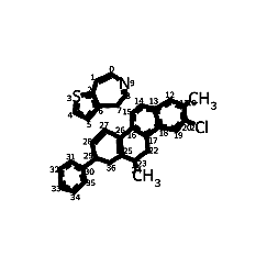 C1=Cc2sccc2CC=N1.Cc1cc2ccc3c(c2cc1Cl)CC(C)C1=C3C=CC(c2ccccc2)C1